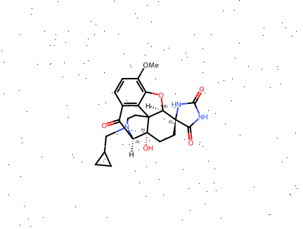 COc1ccc2c3c1O[C@@H]1C34CCN(CC3CC3)[C@H](C2=O)[C@]4(O)CC[C@]12NC(=O)NC2=O